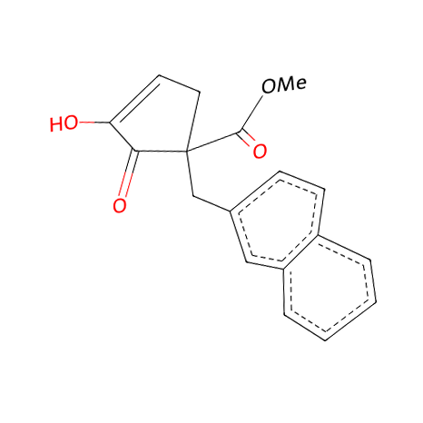 COC(=O)C1(Cc2ccc3ccccc3c2)CC=C(O)C1=O